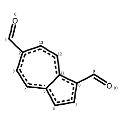 O=Cc1ccc2ccc(C=O)c-2cc1